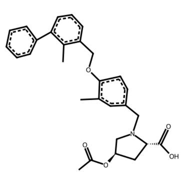 CC(=O)O[C@@H]1C[C@@H](C(=O)O)N(Cc2ccc(OCc3cccc(-c4ccccc4)c3C)c(C)c2)C1